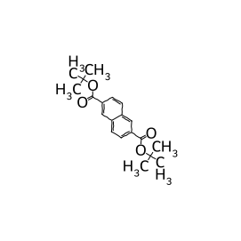 CC(C)(C)OC(=O)c1ccc2cc(C(=O)OC(C)(C)C)ccc2c1